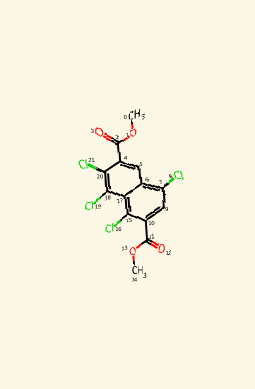 COC(=O)c1cc2c(Cl)cc(C(=O)OC)c(Cl)c2c(Cl)c1Cl